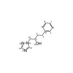 OC(CCc1ccccc1)Cn1cncn1